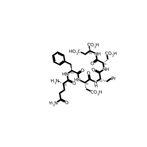 CC(C)C[C@H](NC(=O)[C@H](CC(=O)O)NC(=O)[C@H](Cc1ccccc1)NC(=O)[C@@H](N)CCC(N)=O)C(=O)N[C@@H](CC(=O)O)C(=O)N[C@@H](CC(=O)O)C(=O)O